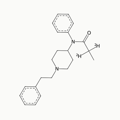 [2H]C([2H])(C)C(=O)N(c1ccccc1)C1CCN(CCc2ccccc2)CC1